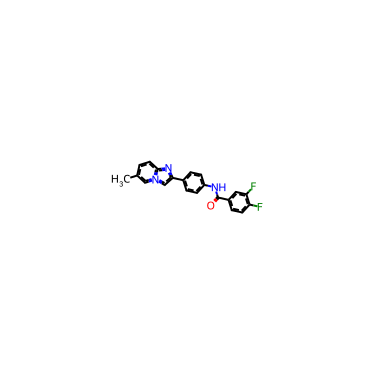 Cc1ccc2nc(-c3ccc(NC(=O)c4ccc(F)c(F)c4)cc3)cn2c1